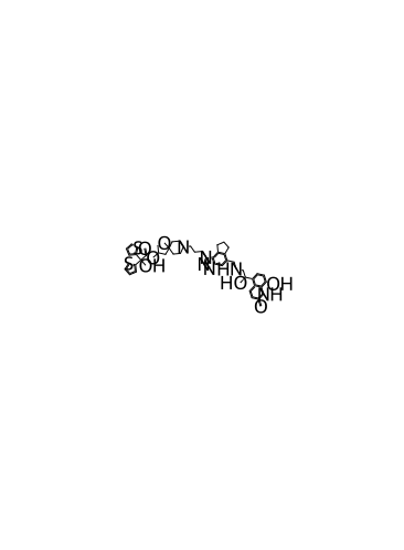 O=C(OC1COC2(CCN(CCCn3nnc4cc(CNC[C@H](O)c5ccc(O)c6[nH]c(=O)ccc56)c5c(c43)CCC5)CC2)C1)C(O)(c1cccs1)c1cccs1